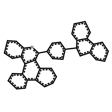 c1ccc2c(c1)cc(-c1ccc(-c3nc4ccccc4c4c5ccccc5c5ccccc5c34)cc1)c1ccccc12